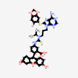 CC(C)N(CCCn1c(Sc2cc3c(cc2I)OCO3)nc2c(N)ncnc21)C(=S)Nc1ccc(-c2c3ccc(=O)cc-3oc3cc(O)ccc23)c(C(=O)O)c1